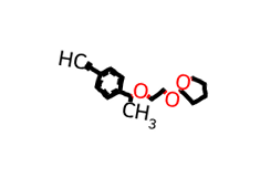 C#Cc1ccc(C(C)OCCOC2CCCCO2)cc1